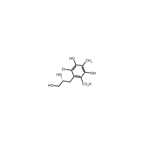 CCc1c(O)c(C)c(O)c(C(=O)O)c1C[C@@H](O)CO